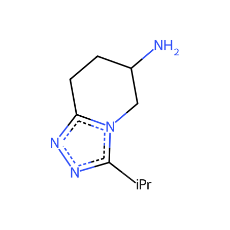 CC(C)c1nnc2n1CC(N)CC2